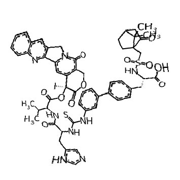 CC(C)C(NC(=O)C(Cc1cnc[nH]1)NC(=S)Nc1cccc(-c2ccc(C[C@H](NS(=O)(=O)CC34CCC(CC3=O)C4(C)C)C(=O)O)cc2)c1)C(=O)O[C@]1(I)C(=O)OCc2c1cc1n(c2=O)Cc2cc3ccccc3nc2-1